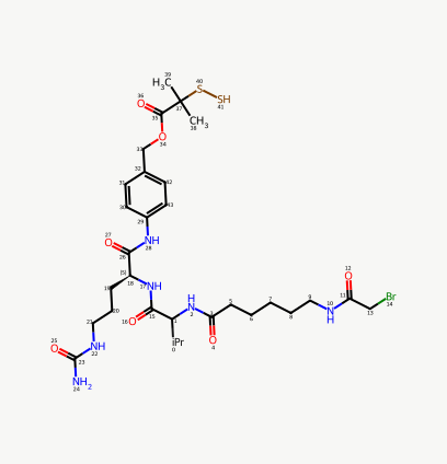 CC(C)C(NC(=O)CCCCCNC(=O)CBr)C(=O)N[C@@H](CCCNC(N)=O)C(=O)Nc1ccc(COC(=O)C(C)(C)SS)cc1